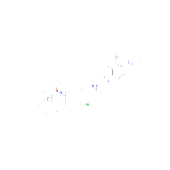 Cl.Cl.Nc1ccc(N2CCN(CCCCNC(=O)C3C4CC5CC(C4)CC3C5)CC2)cc1C(F)(F)F